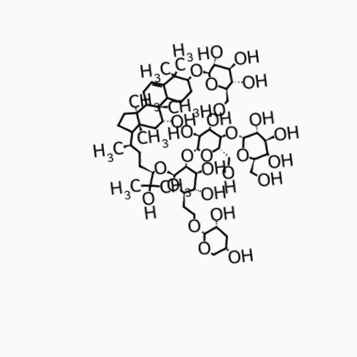 C[C@H](CC[C@@H](O[C@@H]1O[C@H](CCO[C@H]2OC[C@@H](O)C[C@H]2O)[C@@H](O)[C@H](O)[C@H]1O[C@H]1O[C@@H](CO)[C@H](O[C@H]2O[C@H](CO)[C@@H](O)[C@H](O)[C@H]2O)[C@@H](O)[C@@H]1O)C(C)(C)O)C1CC[C@@]2(C)C3CC=C4C(CC[C@H](O[C@@H]5O[C@H](CO)[C@@H](O)[C@H](O)[C@H]5O)C4(C)C)[C@]3(C)[C@H](O)C[C@]12C